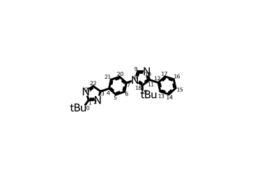 CC(C)(C)C1=NC(c2ccc(-n3cnc(-c4ccccc4)c3C(C)(C)C)cc2)C=N1